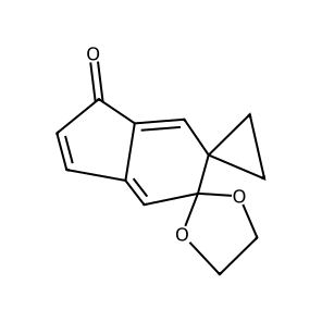 O=C1C=CC2=CC3(OCCO3)C3(C=C12)CC3